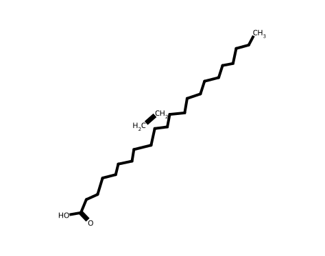 C=C.CCCCCCCCCCCCCCCCCCCCCC(=O)O